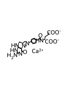 Nc1nc(=O)c2c([nH]1)NCC1CN(c3ccc(C(=O)N[C@@H](CCC(=O)[O-])C(=O)[O-])cc3)CN21.[Ca+2]